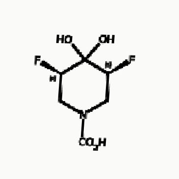 O=C(O)N1C[C@@H](F)C(O)(O)[C@@H](F)C1